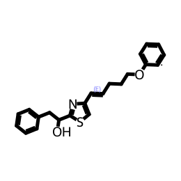 OC(Cc1ccccc1)c1nc(/C=C/CCCOc2[c]cccc2)cs1